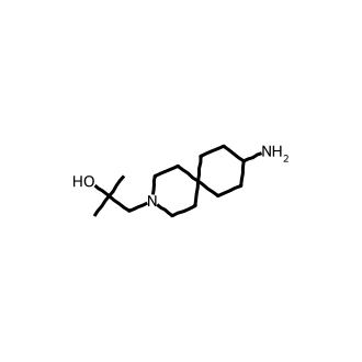 CC(C)(O)CN1CCC2(CCC(N)CC2)CC1